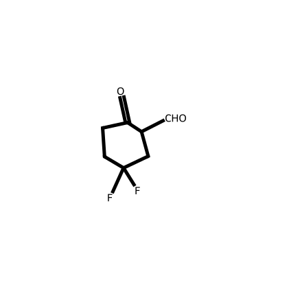 O=CC1CC(F)(F)CCC1=O